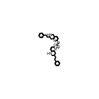 O=[PH](Oc1ccc2c(n1)CC(CCc1ccccc1)NC2)Oc1ccc2c(n1)CC(CCc1ccccc1)CN2